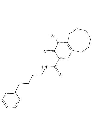 CCCCn1c2c(cc(C(=O)NCCCCc3ccccc3)c1=O)CCCCCC2